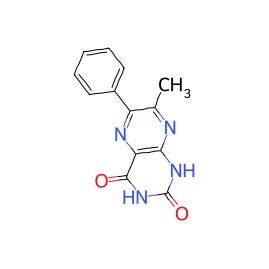 Cc1nc2[nH]c(=O)[nH]c(=O)c2nc1-c1ccccc1